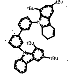 CC(C)(C)c1cc(C(C)(C)C)c2c(c1)c1c(n2-c2cccc(-c3cccc(-n4c5ccccc5c5cc(C(C)(C)C)cc(C(C)(C)C)c54)c3)c2)CCC=C1